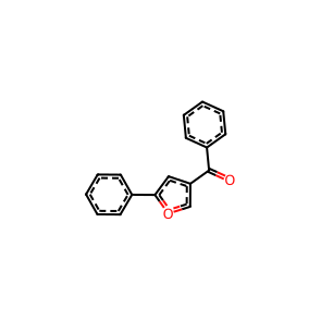 O=C(c1ccccc1)c1coc(-c2ccccc2)c1